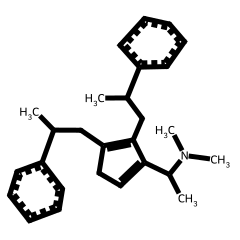 CC(CC1=C(CC(C)c2ccccc2)C(C(C)N(C)C)=CC1)c1ccccc1